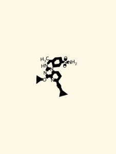 C[C@@H](Nc1nc(OC2CC2)c2nc(C#CC3CC3)ccc2n1)c1ccc(S(N)(=O)=O)cc1